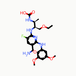 CCOC[C@@H](Nc1nc(Nc2cc(OC)cc(OC)c2)c(C(N)=O)cc1F)[C@H](C)NC(=O)O